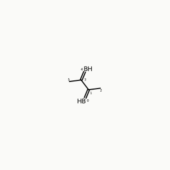 B=C(C)C(=B)C